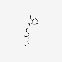 C=Cc1ccccc1SCCC1=CC(CC2CCCC2)=NC1